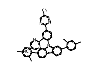 Cc1ccc(-c2ccc3c4ccc(-c5ccc(C)cc5C)cc4n(-c4ccc(-c5ncc(C#N)cn5)cc4-c4ncc(C#N)cn4)c3c2)c(C)c1